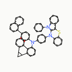 c1ccc(-n2c3c(c4ccccc42)Sc2ccccc2N3c2ccc(N(c3ccc(-c4cccc5ccccc45)cc3)c3cccc4c3-c3ccccc3C3CC43)cc2)cc1